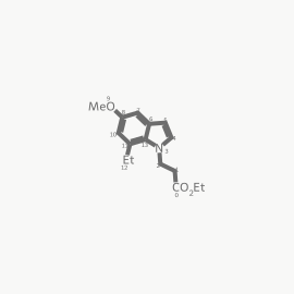 CCOC(=O)CCn1ccc2cc(OC)cc(CC)c21